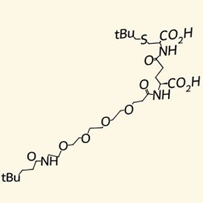 CC(C)(C)CCC(=O)NCCOCCOCCOCCOCCC(=O)N[C@@H](CCC(=O)N[C@@H](CSCC(C)(C)C)C(=O)O)C(=O)O